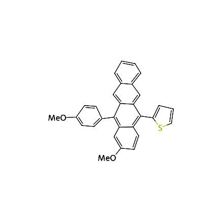 COc1ccc(-c2c3cc(OC)ccc3c(-c3cccs3)c3cc4ccccc4cc23)cc1